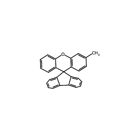 Cc1ccc2c(c1)Oc1ccccc1C21c2ccccc2-c2ccccc21